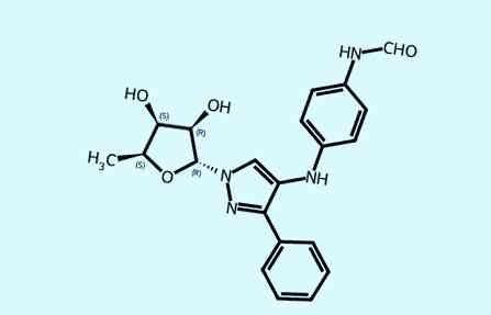 C[C@@H]1O[C@@H](n2cc(Nc3ccc(NC=O)cc3)c(-c3ccccc3)n2)[C@H](O)[C@@H]1O